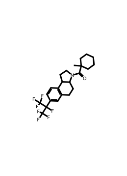 CC1(C(=O)N2CCC3c4ccc(C(F)(C(F)(F)F)C(F)(F)F)cc4CCC32)CCCCC1